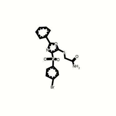 NC(=O)CSc1oc(-c2ccccc2)nc1S(=O)(=O)c1ccc(Br)cc1